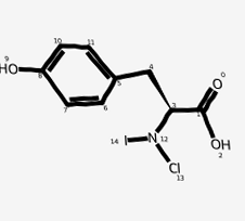 O=C(O)[C@H](Cc1ccc(O)cc1)N(Cl)I